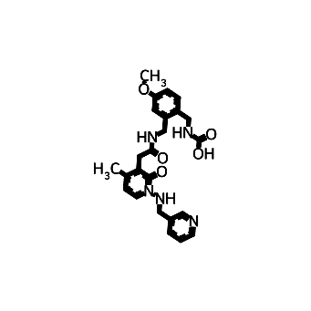 COc1ccc(CNC(=O)O)c(CNC(=O)Cc2c(C)ccn(NCc3cccnc3)c2=O)c1